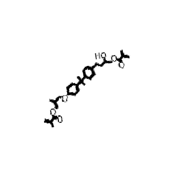 C=C(C)C(=O)OCC(C)COc1ccc(C(C)(C)c2ccc(CCC(O)COC(=O)C(=C)C)cc2)cc1